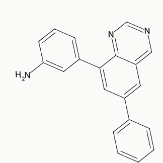 Nc1cccc(-c2cc(-c3ccccc3)cc3cncnc23)c1